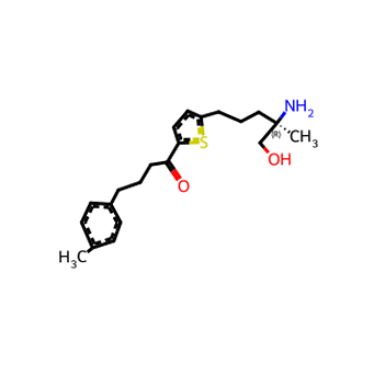 Cc1ccc(CCCC(=O)c2ccc(CCC[C@@](C)(N)CO)s2)cc1